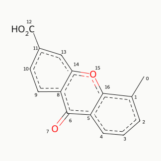 Cc1cccc2c(=O)c3ccc(C(=O)O)cc3oc12